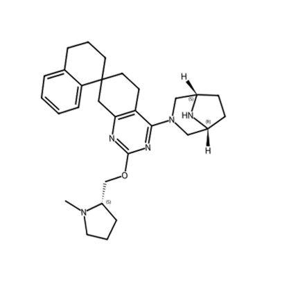 CN1CCC[C@H]1COc1nc2c(c(N3C[C@H]4CC[C@@H](C3)N4)n1)CCC1(CCCc3ccccc31)C2